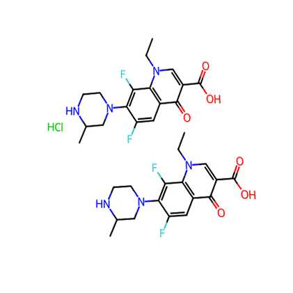 CCn1cc(C(=O)O)c(=O)c2cc(F)c(N3CCNC(C)C3)c(F)c21.CCn1cc(C(=O)O)c(=O)c2cc(F)c(N3CCNC(C)C3)c(F)c21.Cl